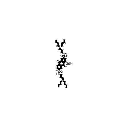 CCCCN(CCCC)CCCNS(=O)(=O)c1ccc2c(c1)C(=O)c1ccc(S(=O)(=O)NCCCN(CCCC)CCCC)cc1C2=O.Cl.Cl